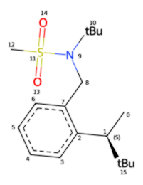 C[C@H](c1ccccc1CN(C(C)(C)C)S(C)(=O)=O)C(C)(C)C